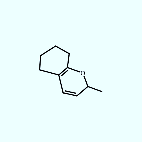 CC1C=CC2=C(CCCC2)O1